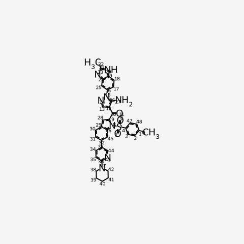 Cc1ccc(S(=O)(=O)n2c(C(=O)c3cnn(-c4ccc5[nH]c(C)nc5c4)c3N)cc3ccc(-c4ccc(N5CCCCC5)nc4)cc32)cc1